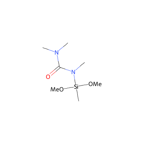 CO[Si](C)(OC)N(C)C(=O)N(C)C